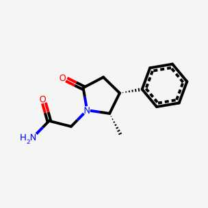 C[C@H]1[C@@H](c2ccccc2)CC(=O)N1CC(N)=O